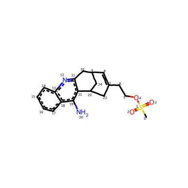 CS(=O)(=O)OCCC1=CC2Cc3nc4ccccc4c(N)c3C(C1)C2